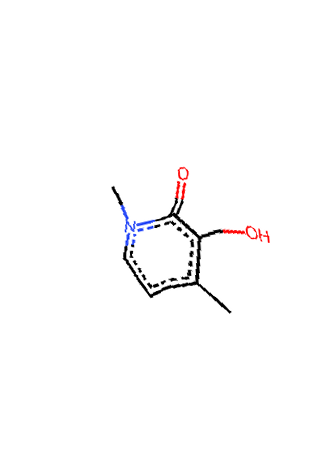 Cc1ccn(C)c(=O)c1O